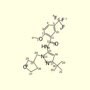 COc1ccc(C(F)(F)F)cc1C(=O)Nc1cc(C(C)(C)C)nn1CC1CCOC1